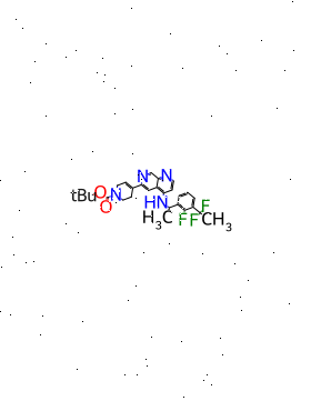 C[C@@H](Nc1ccnc2cnc(C3=CCN(C(=O)OC(C)(C)C)CC3)cc12)c1cccc(C(C)(F)F)c1F